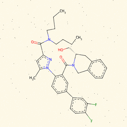 CCCCN(CCCC)C(=O)c1cc(C)n(-c2ccc(-c3ccc(F)c(F)c3)cc2C(=O)N2Cc3ccccc3C[C@H]2CO)n1